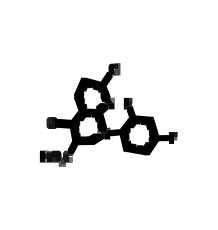 CCOC(=O)c1cn(-c2ccc(F)cc2F)c2nc(Cl)ccc2c1=O